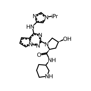 CC(C)n1cnc(Nc2nc(N3C[C@@H](O)C[C@H]3C(=O)NC3CCCNC3)nn3cccc23)c1